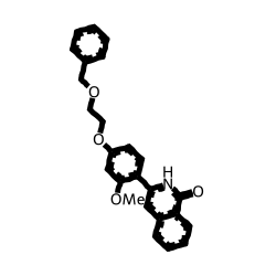 COc1cc(OCCOCc2ccccc2)ccc1-c1cc2ccccc2c(=O)[nH]1